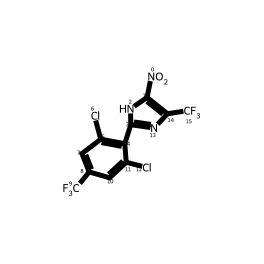 O=[N+]([O-])c1[nH]c(-c2c(Cl)cc(C(F)(F)F)cc2Cl)nc1C(F)(F)F